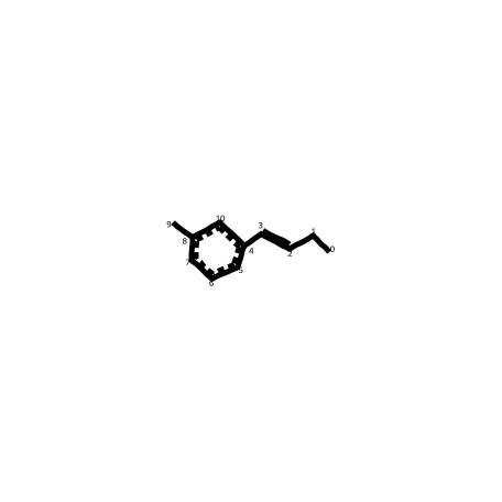 CC/C=C/c1cccc(C)c1